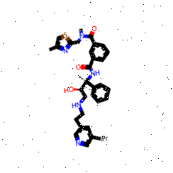 Cc1csc(CN(C)C(=O)c2cccc(C(=O)N[C@@](C)(c3ccccc3)[C@H](O)CNCCc3cncc(C(C)C)c3)c2)n1